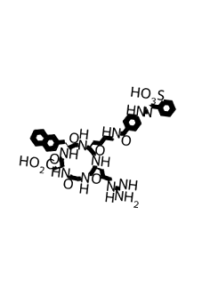 N=C(N)NCCC[C@@H]1NC(=O)[C@H](CCCCNC(=O)c2ccc(NN=Cc3ccccc3S(=O)(=O)O)cc2)NC(=O)[C@@H](Cc2ccc3ccccc3c2)NC(=O)[C@H](CC(=O)O)NC(=O)CNC1=O